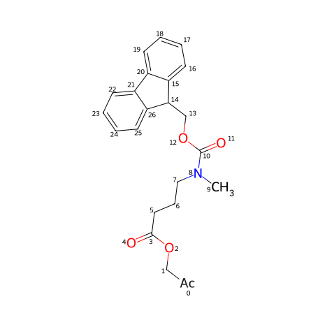 CC(=O)COC(=O)CCCN(C)C(=O)OCC1c2ccccc2-c2ccccc21